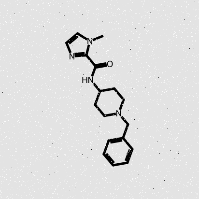 Cn1ccnc1C(=O)NC1CCN(Cc2ccccc2)CC1